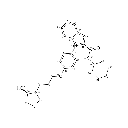 C[C@@H]1CCCN1CCCOc1ccc(-n2c(C(=O)NC3CCCCC3)cc3ccccc32)cc1